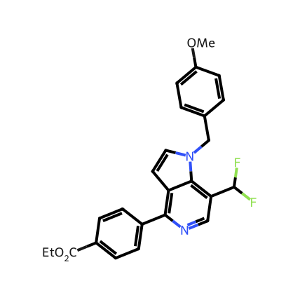 CCOC(=O)c1ccc(-c2ncc(C(F)F)c3c2ccn3Cc2ccc(OC)cc2)cc1